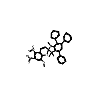 COc1cc([N+](=O)[O-])c([N+](=O)[O-])c2c1OC1(C=C2)N(C)c2c(-c3ccccc3)c(-c3ccccc3)cc(-c3ccccc3)c2C1(C)C